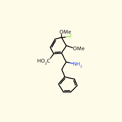 COC1C(C(N)Cc2ccccc2)=C(C(=O)O)C=CC1(F)OC